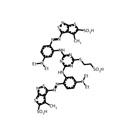 CCN(CC)c1ccc(/N=N/c2snc3sc(S(=O)(=O)O)c(C)c23)c(Nc2nc(Nc3cc(N(CC)CC)ccc3/N=N/c3snc4sc(S(=O)(=O)O)c(C)c34)nc(SCCS(=O)(=O)O)n2)c1